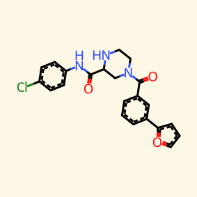 O=C(Nc1ccc(Cl)cc1)C1CN(C(=O)c2cccc(-c3ccco3)c2)CCN1